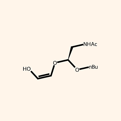 CCCCO[C@H](CNC(C)=O)O/C=C\O